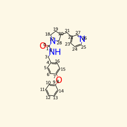 O=C(NCc1ccc(Oc2ccccc2)cc1)N1CCC(Cc2cccnc2)C1